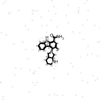 NC(=O)c1cc(F)c(N2CC3CCCNC3C2)c2c1[nH]c1ccccc12